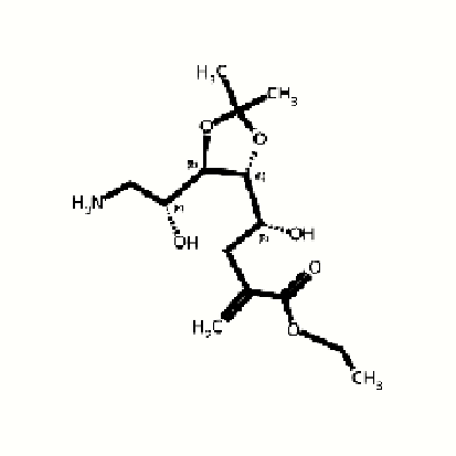 C=C(C[C@@H](O)[C@H]1OC(C)(C)O[C@@H]1[C@H](O)CN)C(=O)OCC